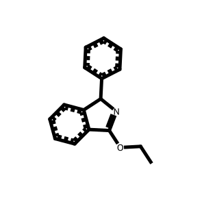 CCOC1=NC(c2ccccc2)c2ccccc21